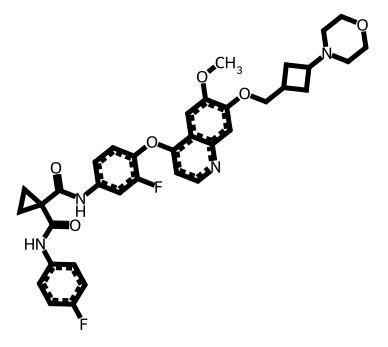 COc1cc2c(Oc3ccc(NC(=O)C4(C(=O)Nc5ccc(F)cc5)CC4)cc3F)ccnc2cc1OCC1CC(N2CCOCC2)C1